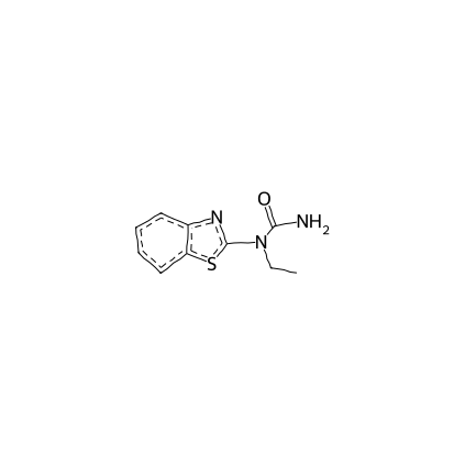 CCN(C(N)=O)c1nc2ccccc2s1